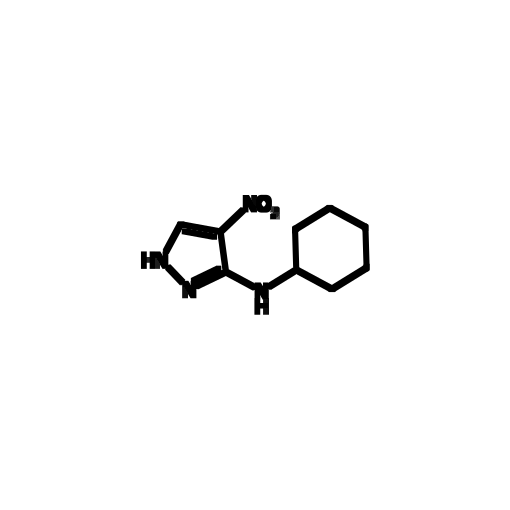 O=[N+]([O-])c1c[nH]nc1NC1CCCCC1